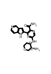 NC(=O)c1ncc(N[C@@H]2CCOC[C@@H]2N)nc1-c1cc2cnccc2[nH]1